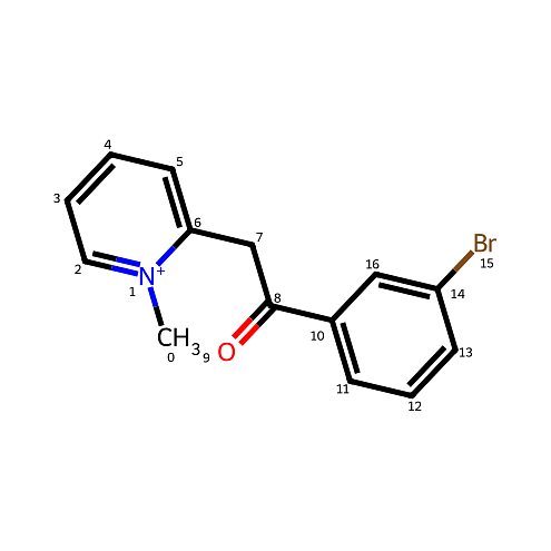 C[n+]1ccccc1CC(=O)c1cccc(Br)c1